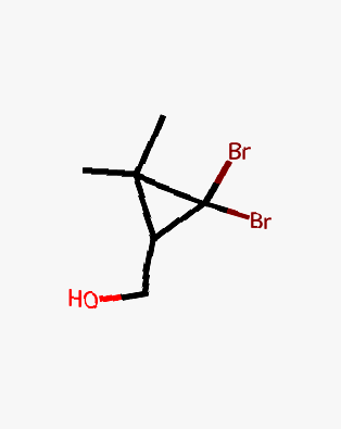 CC1(C)C(CO)C1(Br)Br